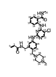 C=CC(=O)NCc1cc(Nc2ncc(Cl)c(Nc3ccccc3C(=O)NC)n2)ccc1CN1CCN(C)CC1